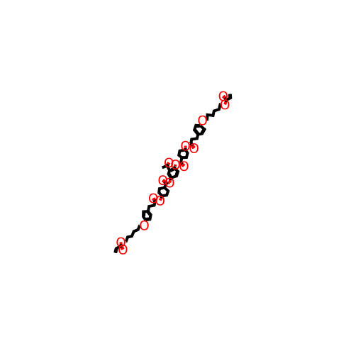 C=CC(=O)OCCCCCCOc1ccc(CCC(=O)OC2CCC(C(=O)Oc3ccc(OC(=O)C4CCC(OC(=O)CCc5ccc(OCCCCCCOC(=O)C=C)cc5)CC4)c(C(C)=O)c3)CC2)cc1